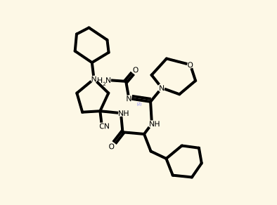 N#CC1(NC(=O)C(CC2CCCCC2)N/C(=N/C(N)=O)N2CCOCC2)CCN(C2CCCCC2)C1